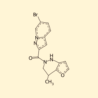 CC1CN(C(=O)c2cc3ccc(Br)cn3n2)Nc2ccoc21